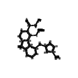 COCc1c(C(=O)OC(C)C)ncc2[nH]c3cccc(Oc4ncc([N+](=O)[O-])s4)c3c12